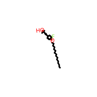 CCCCCCCCCCCCCCCCOc1ccc(C#CC(C)(C)O)cc1F